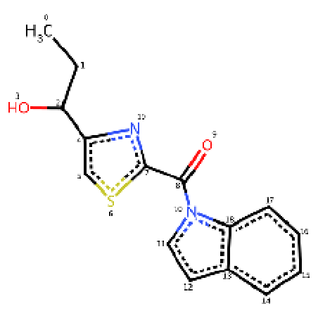 CCC(O)c1csc(C(=O)n2ccc3ccccc32)n1